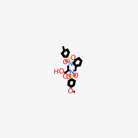 COc1ccc(S(=O)(=O)N2Cc3ccccc3N(S(=O)(=O)c3ccc(C)cc3)CC2C(=O)O)cc1